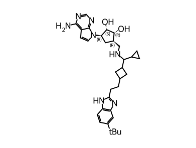 CC(C)(C)c1ccc2[nH]c(CCC3CC(C(NC[C@H]4C[C@@H](n5ccc6c(N)ncnc65)[C@H](O)[C@@H]4O)C4CC4)C3)nc2c1